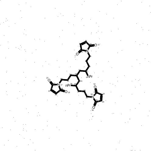 CCCC(CCCN1C(=O)C=CC1=O)CC(CCCN1C(=O)C=CC1=O)CC(CCC)CCCN1C(=O)C=CC1=O